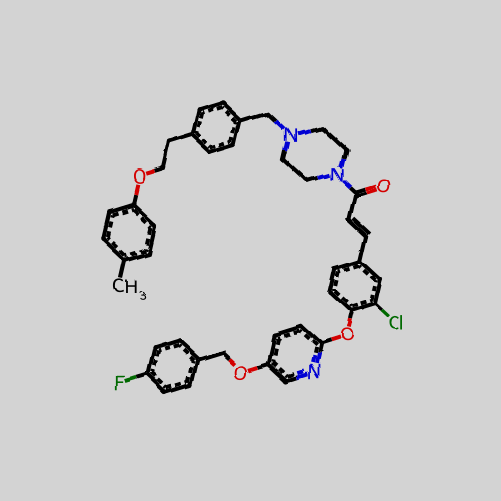 Cc1ccc(OCCc2ccc(CN3CCN(C(=O)/C=C/c4ccc(Oc5ccc(OCc6ccc(F)cc6)cn5)c(Cl)c4)CC3)cc2)cc1